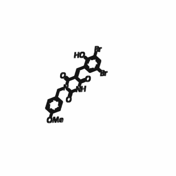 COc1ccc(CN2C(=O)NC(=O)C(=Cc3cc(Br)cc(Br)c3O)C2=O)cc1